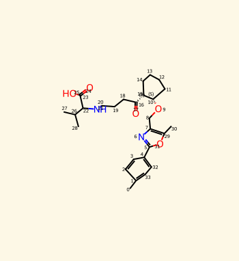 Cc1ccc(-c2nc(CO[C@H]3CCCC[C@H]3C(=O)CCCNC(C(=O)O)C(C)C)c(C)o2)cc1